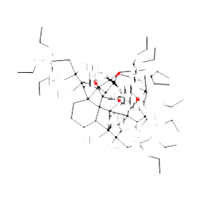 CCO[Si](CC(S)(S)C(S)(S)C1CCCC(C(S)(S)C(S)(S)C[Si](OCC)(OCC)OCC)(C(S)(S)C(S)(S)C[Si](OCC)(OCC)OCC)C1(C(S)(S)C(S)(S)C[Si](OCC)(OCC)OCC)C(S)(S)C(S)(S)C[Si](OCC)(OCC)OCC)(OCC)OCC